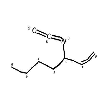 C=CC(CCCC)N=C=O